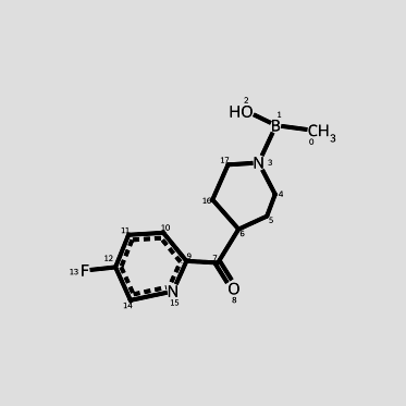 CB(O)N1CCC(C(=O)c2ccc(F)cn2)CC1